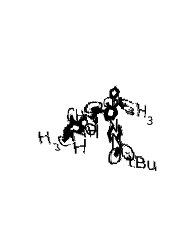 Cc1cc(C)c(CNC(=O)c2cc(N3CCN(C(=O)OC(C)(C)C)CC3)cc(N(C)C3CCCC3)c2C)c(=O)[nH]1